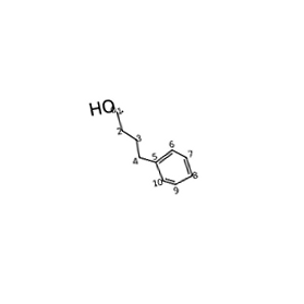 O[CH]CCCc1ccccc1